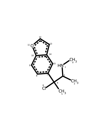 CNC(C)C(C)(Cl)c1ccc2occc2c1